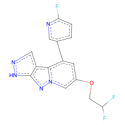 Fc1ccc(-c2cc(OCC(F)F)cn3nc4[nH]ncc4c23)cn1